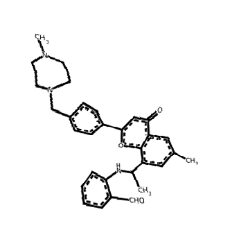 Cc1cc(C(C)Nc2ccccc2C=O)c2oc(-c3ccc(CN4CCN(C)CC4)cc3)cc(=O)c2c1